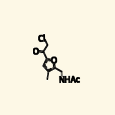 CC(=O)NCc1oc(C(=O)CCl)cc1C